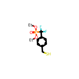 CCOP(=O)(OCC)C(F)(F)c1ccc(CS)cc1